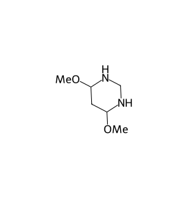 COC1CC(OC)NCN1